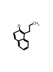 CCCc1c([O])ccc2ccccc12